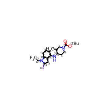 C[C@H]1CN(C(=O)OC(C)(C)C)CC[C@@H]1Nc1cccc2c1cc(I)n2CC(F)(F)F